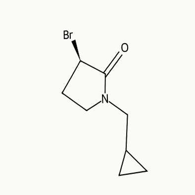 O=C1[C@H](Br)CCN1CC1CC1